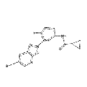 O=C(Nc1ccc(F)c(-n2cc3cc(Br)cnc3n2)c1)C1CC1